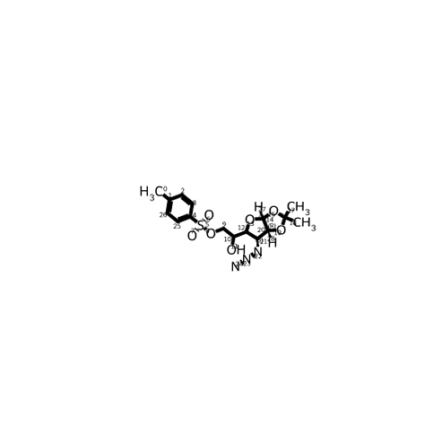 Cc1ccc(S(=O)(=O)OCC(O)C2O[C@@H]3OC(C)(C)O[C@@H]3[C@H]2N=[N+]=[N-])cc1